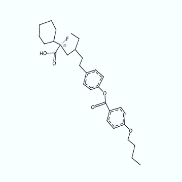 CCCCOc1ccc(C(=O)Oc2ccc(CCC(CC)C[C@@](F)(C(=O)O)C3CCCCC3)cc2)cc1